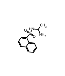 CC(N)NS(=O)(=O)c1cccc2ccccc12